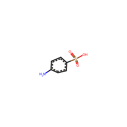 Nc1[c]cc(S(=O)(=O)O)cc1